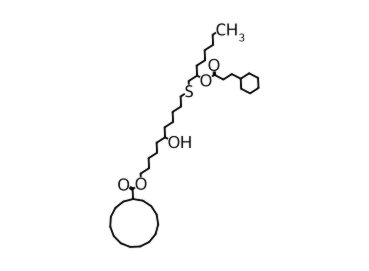 CCCCCCC(CSCCCCCC(O)CCCCCOC(=O)C1CCCCCCCCCCCCCC1)OC(=O)CCC1CCCCC1